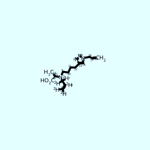 [2H]C([2H])=C([2H])C([2H])([2H])N(CCCCc1cn(CC=C)nn1)[C@@H](C)C(=O)O